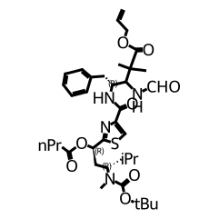 C=CCOC(=O)C(C)(C)C(NC=O)[C@@H](Cc1ccccc1)NC(=O)c1csc([C@@H](C[C@H](C(C)C)N(C)C(=O)OC(C)(C)C)OC(=O)CCC)n1